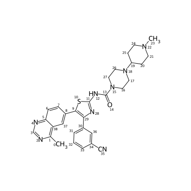 Cc1ncnc2ccc(-c3sc(NC(=O)N4CCN(C5CCN(C)CC5)CC4)nc3-c3cccc(C#N)c3)cc12